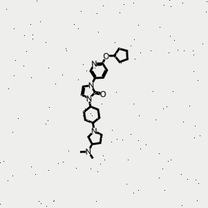 CN(C)C1CCN(C2CCC(n3ccn(-c4ccc(OC5CCCC5)nc4)c3=O)CC2)C1